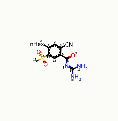 CCCCCCc1cc(C#N)c(C(=O)N=C(N)N)cc1S(C)(=O)=O